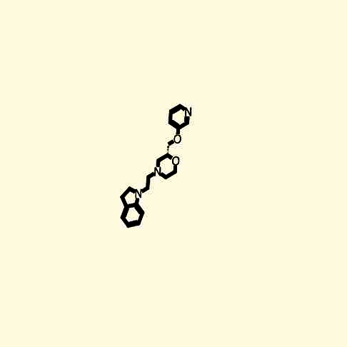 c1cncc(OC[C@H]2CN(CCN3CCc4ccccc43)CCO2)c1